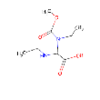 CCNC(C(=O)O)N(CC)C(=O)OC